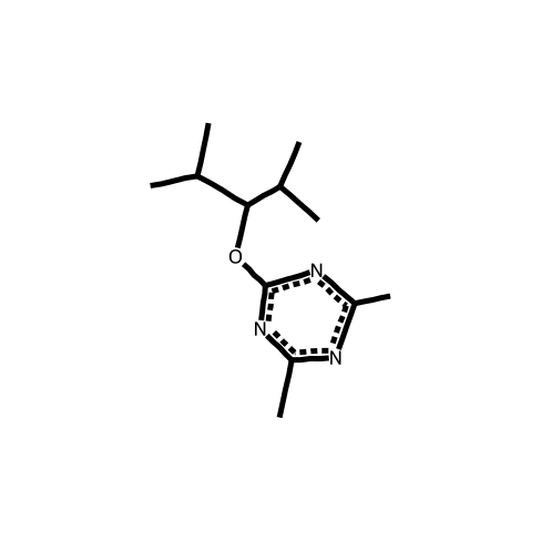 Cc1nc(C)nc(OC(C(C)C)C(C)C)n1